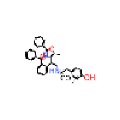 Cc1oc(-c2ccccc2)nc1C(CN[C@@H](Cc1ccc(O)cc1)C(=O)O)c1ccccc1C(=O)c1ccccc1